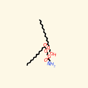 CCCCCCCCCCCCC(COCCO)OC(CCCCCCCCCCCC)COCCOC(=O)CN